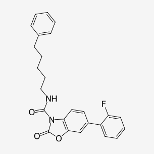 O=C(NCCCCCc1ccccc1)n1c(=O)oc2cc(-c3ccccc3F)ccc21